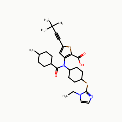 CCn1ccnc1SC1CCC(N(C(=O)C2CCC(C)CC2)c2cc(C#CC(C)(C)C)sc2C(=O)O)CC1